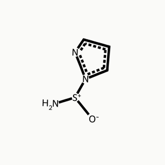 N[S+]([O-])n1cccn1